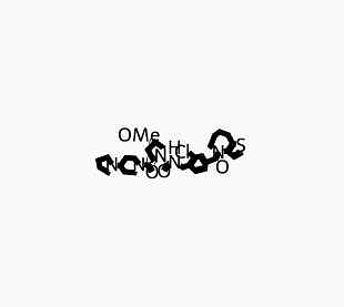 CO[C@@H]1C[C@@H](C(=O)N2CCC(N3CCCC3)CC2)N(C(=O)NCc2ccc(C(=O)N3CCCCc4sccc43)cc2Cl)C1